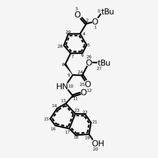 CC(C)(C)OC(=O)c1ccc(C[C@H](NC(=O)c2cccc3cc(O)ccc23)C(=O)OC(C)(C)C)cc1